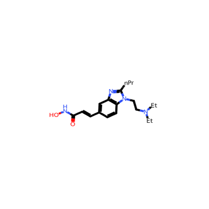 CCCc1nc2cc(C=CC(=O)NO)ccc2n1CCN(CC)CC